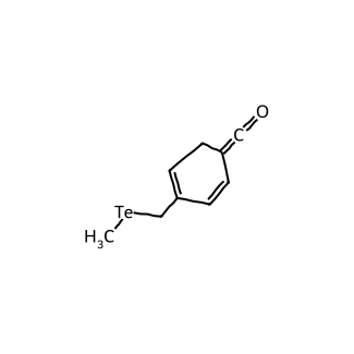 C[Te]CC1=CCC(=C=O)C=C1